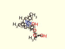 Cc1ccc(-c2nc(-c3ccc(C)cc3C)nc(-c3ccc(OCCOC(C)C#CO)cc3O)n2)c(C)c1